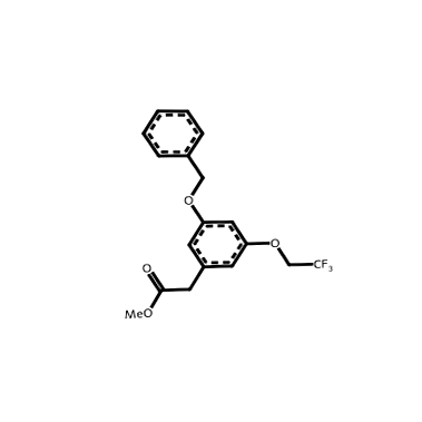 COC(=O)Cc1cc(OCc2ccccc2)cc(OCC(F)(F)F)c1